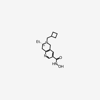 CC[C@H]1Cc2ncc(C(=O)NO)cc2CN1CC1CCC1